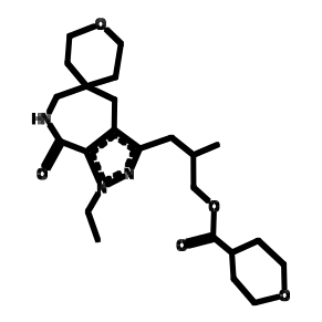 CCn1nc(CC(C)COC(=O)C2CCOCC2)c2c1C(=O)NCC1(CCOCC1)C2